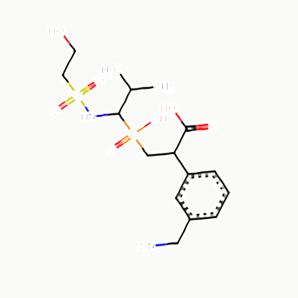 CC(C)C(NS(=O)(=O)CCO)P(=O)(O)CC(C(=O)O)c1cccc(CN)c1